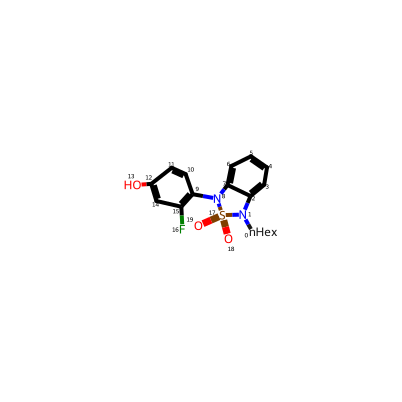 CCCCCCN1c2ccccc2N(c2ccc(O)cc2F)S1(=O)=O